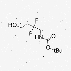 CC(C)(C)OC(=O)NCC(F)(F)CCO